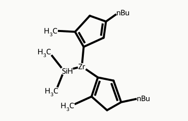 CCCCC1=C[C]([Zr]([C]2=C(C)CC(CCCC)=C2)[SiH](C)C)=C(C)C1